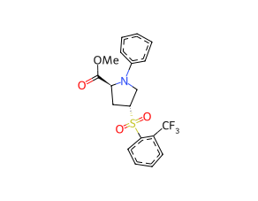 COC(=O)[C@@H]1C[C@@H](S(=O)(=O)c2ccccc2C(F)(F)F)CN1c1ccccc1